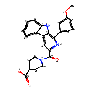 COc1cccc(-c2nc(C(=O)N3CCC(C(=O)O)CC3)cc3c2[nH]c2ccccc23)c1